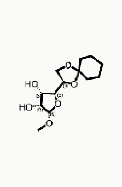 CO[C@H]1O[C@H]([C@H]2COC3(CCCCC3)O2)[C@@H](O)[C@H]1O